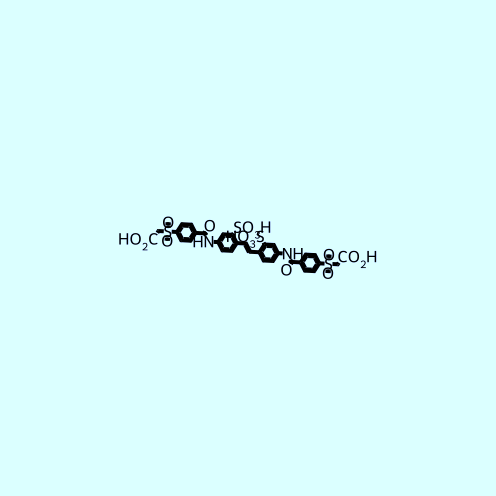 O=C(O)CS(=O)(=O)c1ccc(C(=O)Nc2ccc(C=Cc3ccc(NC(=O)c4ccc(S(=O)(=O)CC(=O)O)cc4)cc3S(=O)(=O)O)c(S(=O)(=O)O)c2)cc1